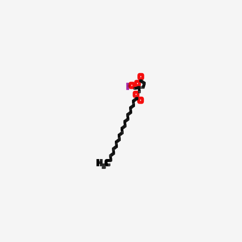 CCCCCCCCCCCCCCCCCCCC(=O)OCC1(COI)CCC(=O)O1